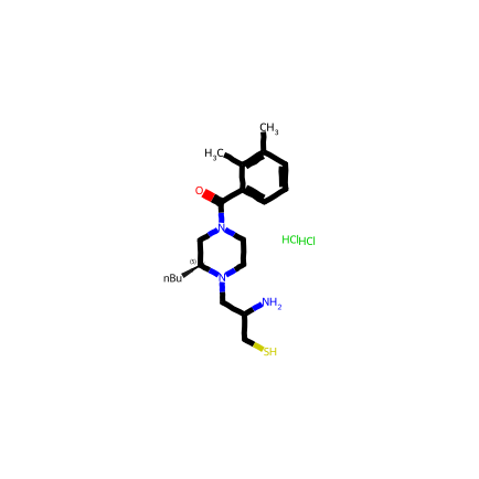 CCCC[C@H]1CN(C(=O)c2cccc(C)c2C)CCN1CC(N)CS.Cl.Cl